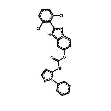 O=C(Nc1ccnn1-c1ccccc1)Oc1ccc2nc(-c3c(Cl)cccc3Cl)[nH]c2c1